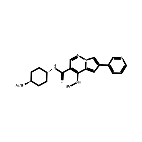 CC(=O)N[C@H]1CC[C@H](NC(=O)c2cnn3cc(-c4cccnc4)cc3c2NC(C)C)CC1